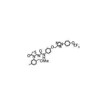 COCc1ccc(C)cc1N1C(=O)CS/C1=N\C(=O)Nc1ccc(OCc2ncn(-c3ccc(OC(F)(F)F)cc3)n2)cc1